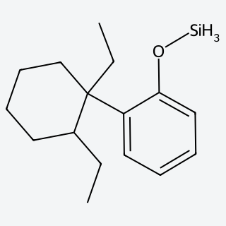 CCC1CCCCC1(CC)c1ccccc1O[SiH3]